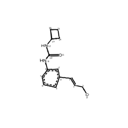 [O]C/C=C/c1cccc(NC(=O)NC2CCC2)c1